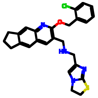 Clc1ccccc1COc1nc2cc3c(cc2cc1CNCc1cn2c(n1)SCC2)CCC3